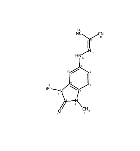 CC(C)n1c(=O)n(C)c2ccc(NN=C(C#N)C#N)cc21